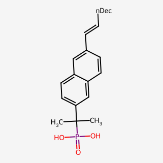 CCCCCCCCCCC=Cc1ccc2cc(C(C)(C)P(=O)(O)O)ccc2c1